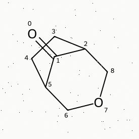 O=C1C2CCC1COC2